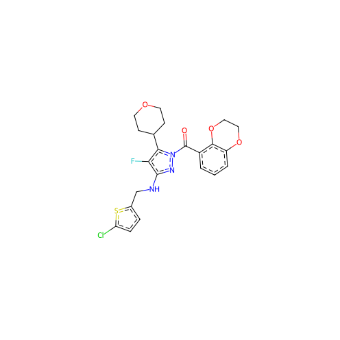 O=C(c1cccc2c1OCCO2)n1nc(NCc2ccc(Cl)s2)c(F)c1C1CCOCC1